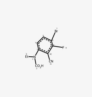 CCN(C(=O)O)c1ccc(Br)c(F)c1C#N